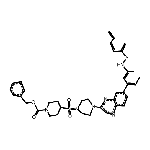 C=C/C=C\C(=C)SN/C(C)=C/C(=C\C)c1ccc2ncc(N3CCN(S(=O)(=O)C4CCN(C(=O)OCc5ccccc5)CC4)CC3)nc2c1